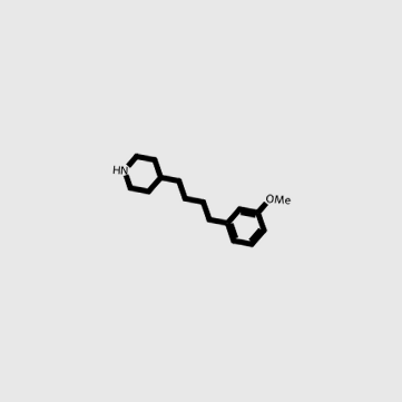 COc1cccc(CCCCC2CCNCC2)c1